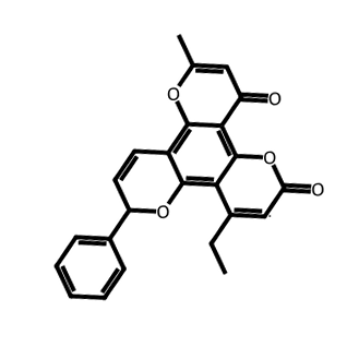 CCc1[c]c(=O)oc2c1c1c(c3oc(C)cc(=O)c32)C=CC(c2ccccc2)O1